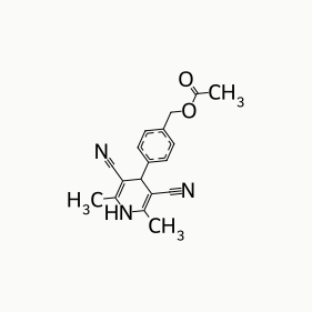 CC(=O)OCc1ccc(C2C(C#N)=C(C)NC(C)=C2C#N)cc1